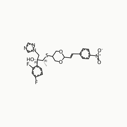 C[C@@H](SC1COC(C=Cc2ccc([N+](=O)[O-])cc2)OC1)[C@](O)(Cn1cncn1)c1ccc(F)cc1F